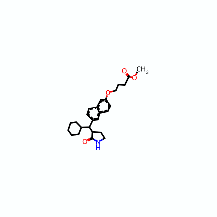 COC(=O)CCCOc1ccc2cc(C(C3CCCCC3)C3CCNC3=O)ccc2c1